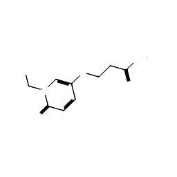 COC(=O)CCSc1ccc(=O)n(CC(F)(F)F)c1